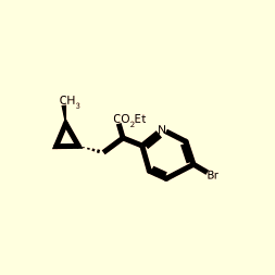 CCOC(=O)C(C[C@@H]1C[C@H]1C)c1ccc(Br)cn1